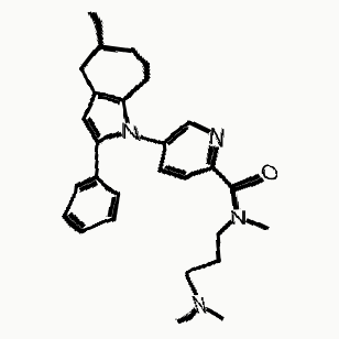 CC1CCc2c(cc(-c3ccccc3)n2-c2ccc(C(=O)N(C)CCCN(C)C)nc2)C1